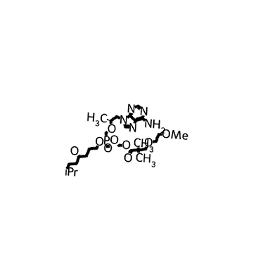 COCCOCC(C)(C)C(=O)OCOP(=O)(CO[C@H](C)Cn1cnc2c(N)ncnc21)OCCCC(=O)CCC(C)C